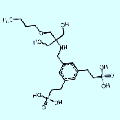 CCCCOCC(CO)(CO)NCc1cc(CCP(=O)(O)O)cc(CCP(=O)(O)O)c1